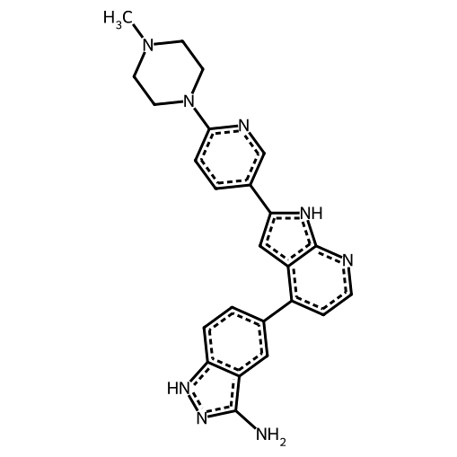 CN1CCN(c2ccc(-c3cc4c(-c5ccc6[nH]nc(N)c6c5)ccnc4[nH]3)cn2)CC1